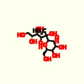 O=C(O)C(O)(C1O[C@H](CO)[C@H](O)[C@H](O)[C@H]1O)[C@@H](O)[C@H](O)[C@H](O)CO